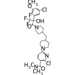 COc1cc(Cl)cc(C(O)(C(=O)N2CCC(CC3CCN(c4ccc(C(=O)N(C)C)c(Cl)n4)CC3)CC2)C(F)(F)F)c1